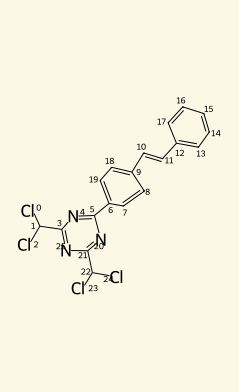 ClC(Cl)c1nc(-c2ccc(C=Cc3ccccc3)cc2)nc(C(Cl)Cl)n1